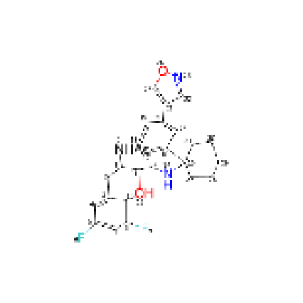 CC(=O)NC(Cc1cc(F)cc(F)c1)C(O)CNC1(c2cccc(-c3cnoc3)c2)CCCCC1